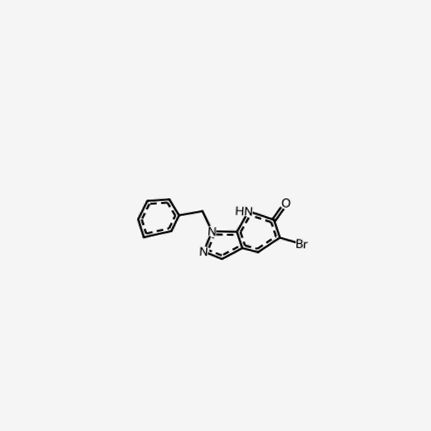 O=c1[nH]c2c(cnn2Cc2ccccc2)cc1Br